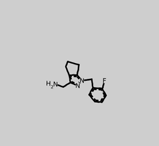 NCc1nn(Cc2ccccc2F)c2c1CCC2